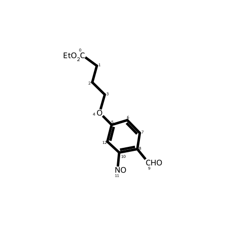 CCOC(=O)CCCOc1ccc(C=O)c(N=O)c1